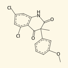 COc1cccc(C2(C)C(=O)Nc3cc(Cl)cc(Cl)c3C2=O)c1